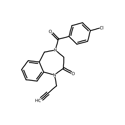 C#CCN1C(=O)CN(C(=O)c2ccc(Cl)cc2)Cc2ccccc21